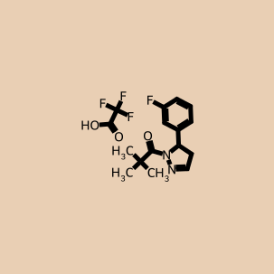 CC(C)(C)C(=O)N1N=CCC1c1cccc(F)c1.O=C(O)C(F)(F)F